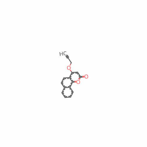 C#CCOc1cc(=O)oc2c1ccc1ccccc12